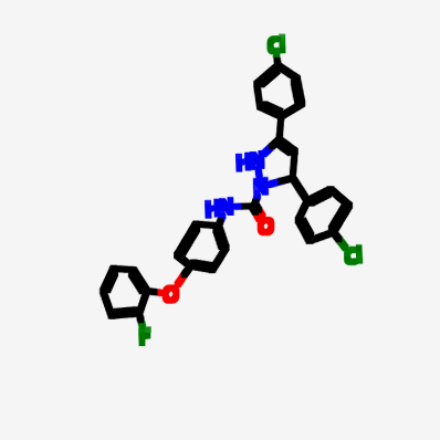 O=C(Nc1ccc(Oc2ccccc2F)cc1)N1NC(c2ccc(Cl)cc2)=CC1c1ccc(Cl)cc1